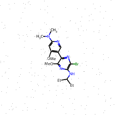 CCC(CC)Nc1nc(OC)c(-c2cnc(N(C)C)cc2OC)nc1Br